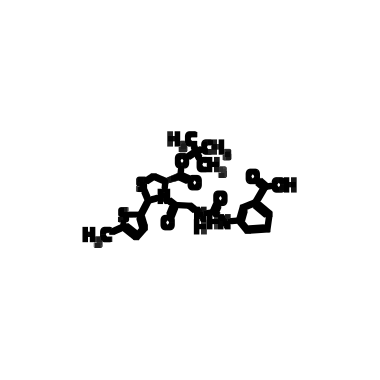 Cc1ccc(C2SC[C@@H](C(=O)OC(C)(C)C)N2C(=O)CNC(=O)Nc2cccc(C(=O)O)c2)s1